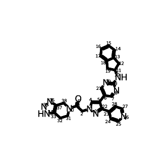 O=C(Cn1cc(-c2cnc(NC3Cc4ccccc4C3)nc2)c(-c2ccncc2)n1)N1CCc2[nH]nnc2C1